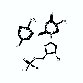 Cc1cn([C@H]2C[C@H](O)[C@@H](COP(=O)(O)O)O2)c(=O)[nH]c1=O.O=[N+]([O-])c1ccc(O)cc1